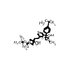 CC(C)c1ccc(C(O)(c2cncc(CCC3(O)CN(C(=O)OC(C)(C)C)C3)c2)C2(C)CN(C)C2)cc1